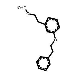 O=[C]OCCc1cccc(OCCc2ccccc2)c1